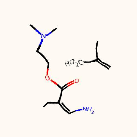 C=C(C)C(=O)O.CC(=CN)C(=O)OCCN(C)C